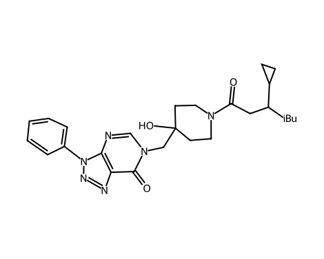 CCC(C)C(CC(=O)N1CCC(O)(Cn2cnc3c(nnn3-c3ccccc3)c2=O)CC1)C1CC1